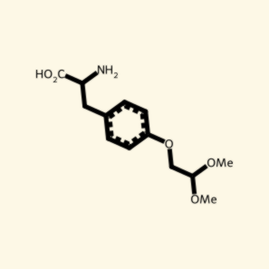 COC(COc1ccc(CC(N)C(=O)O)cc1)OC